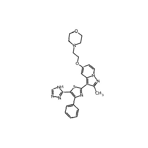 Cc1nn2ccc(OCCN3CCOCC3)cc2c1-c1nc(-c2ccccc2)c(-c2nnc[nH]2)s1